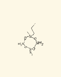 CCC[Si]1(C)O[SiH2]O[SiH2]O[SiH2]O1